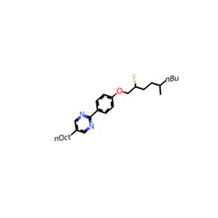 CCCCCCCCc1cnc(-c2ccc(OCC(F)CCC(C)CCCC)cc2)nc1